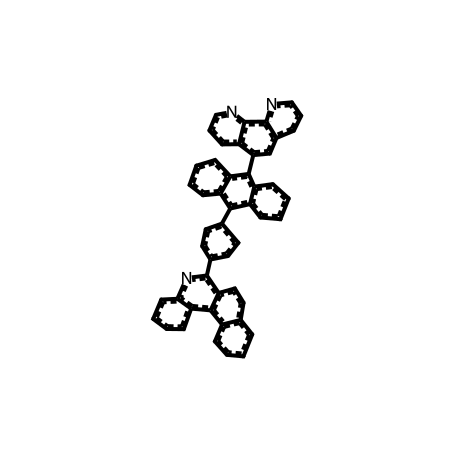 c1ccc2c(c1)ccc1c(-c3ccc(-c4c5ccccc5c(-c5cc6cccnc6c6ncccc56)c5ccccc45)cc3)nc3ccccc3c12